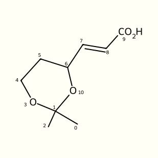 CC1(C)OCCC(C=CC(=O)O)O1